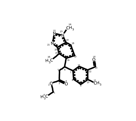 CCOC(=O)CC(c1ccc(C)c(C=O)c1)c1ccc2c(nnn2C)c1C